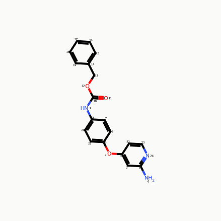 Nc1cc(Oc2ccc(NC(=O)OCc3ccccc3)cc2)ccn1